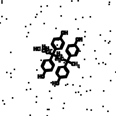 CC(C)(c1ccc(O)cc1)c1ccc(O)cc1.CC(C)(c1ccc(O)cc1)c1ccc(O)cc1.Cl.Cl